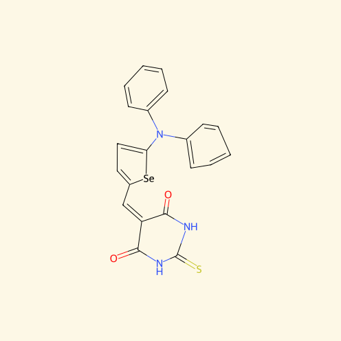 O=C1NC(=S)NC(=O)C1=Cc1ccc(N(c2ccccc2)c2ccccc2)[se]1